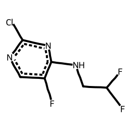 Fc1cnc(Cl)nc1NCC(F)F